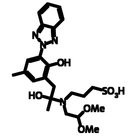 COC(CN(CCCS(=O)(=O)O)C(C)(O)Cc1cc(C)cc(-n2nc3ccccc3n2)c1O)OC